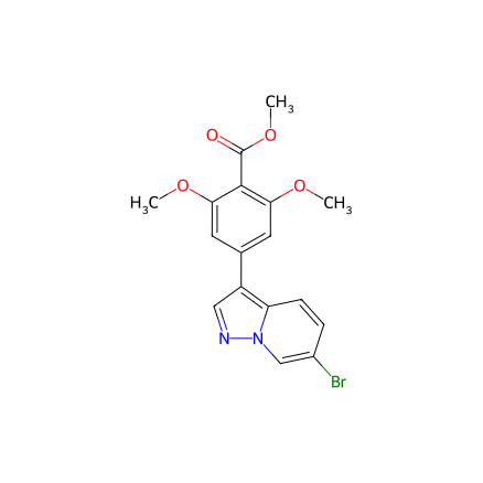 COC(=O)c1c(OC)cc(-c2cnn3cc(Br)ccc23)cc1OC